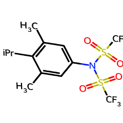 Cc1cc(N(S(=O)(=O)C(F)(F)F)S(=O)(=O)C(F)(F)F)cc(C)c1C(C)C